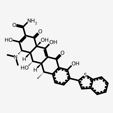 C[C@H]1c2ccc(-c3cc4ccccc4s3)c(O)c2C(=O)C2=C(O)[C@@]3(O)C(=O)C(C(N)=O)=C(O)[C@@H](N(C)C)[C@H]3[C@@H](O)[C@H]21